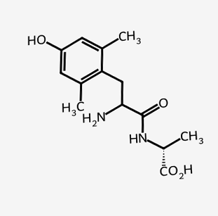 Cc1cc(O)cc(C)c1CC(N)C(=O)N[C@H](C)C(=O)O